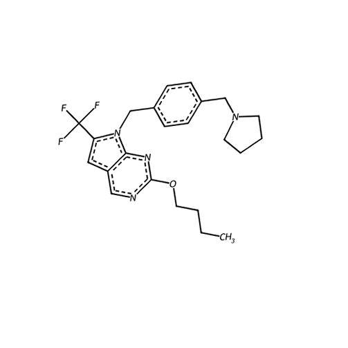 CCCCOc1ncc2cc(C(F)(F)F)n(Cc3ccc(CN4CCCC4)cc3)c2n1